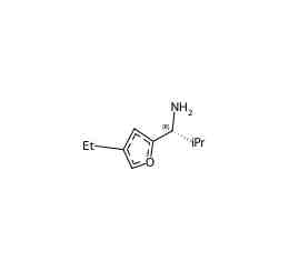 CCc1coc([C@H](N)C(C)C)c1